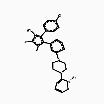 CC[C@@H]1CC=CC=C1N1CCN(c2cccc(-c3c(C)c(C)n(C(C)C)c3-c3ccc(Cl)cc3)c2)CC1